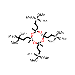 COC(CC[Si]1(C)O[Si](C)(CC[Si](OC)(OC)OC)O[Si](C)(CC[Si](OC)(OC)OC)O[Si](C)(CC[Si](OC)(OC)OC)O1)(OC)OC